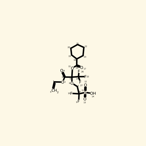 C=COC(=O)C(OCC(F)(F)S(=O)(=O)O)(OC(=O)C1CCCCC1)C(F)(F)F